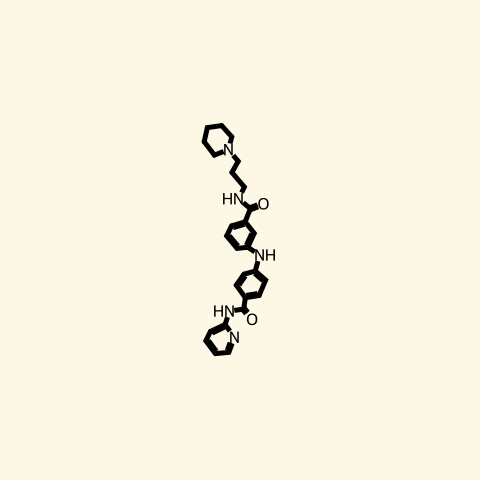 O=C(NCCCN1CCCCC1)c1cccc(Nc2ccc(C(=O)Nc3ccccn3)cc2)c1